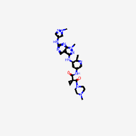 Cc1ncc(NC(=O)C2(C(=O)N3CCN(C)CC3)CC2)cc1Nc1nn(C)c2nc(Nc3cnn(C)c3)ncc12